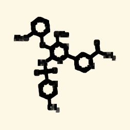 COc1ccccc1Oc1c(NS(=O)(=O)c2ccc(C)cn2)nc(-c2ccnc(C(N)=O)c2)nc1OC